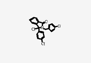 O=C1c2ccccc2C(Cl)(c2ccc(Cl)cc2)N1Cc1ccc(Cl)cc1